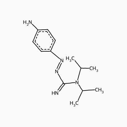 CC(C)N(C(=N)N=Nc1ccc(N)cc1)C(C)C